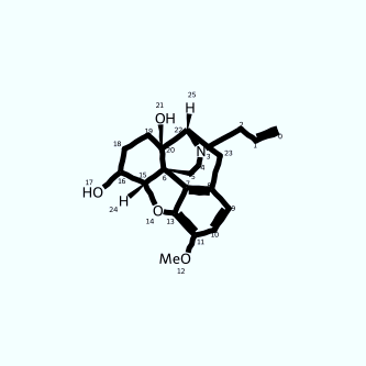 C=CCN1CC[C@@]23c4c5ccc(OC)c4O[C@@H]2C(O)CC[C@]3(O)[C@@H]1C5